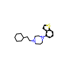 c1cc(N2CCCN(CCC3CCCCC3)CC2)c2ccsc2c1